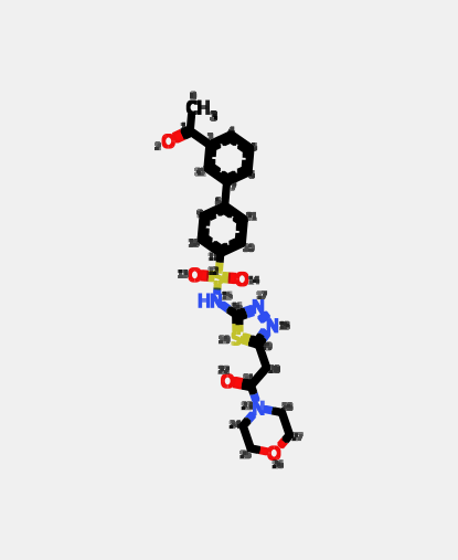 CC(=O)c1cccc(-c2ccc(S(=O)(=O)Nc3nnc(CC(=O)N4CCOCC4)s3)cc2)c1